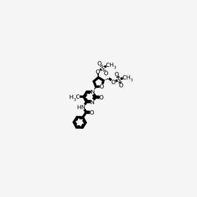 Cc1cn([C@@H]2C[C@@H](OS(C)(=O)=O)[C@H](COS(C)(=O)=O)O2)c(=O)nc1NC(=O)c1ccccc1